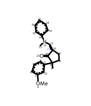 COc1cccc(C2(C)CC/C(=C/N(C)c3ccccc3)C2=O)c1